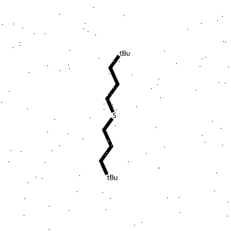 CC(C)(C)CCCSCCCC(C)(C)C